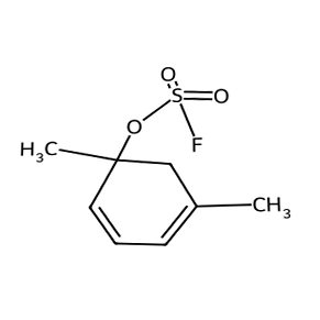 CC1=CC=CC(C)(OS(=O)(=O)F)C1